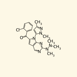 Cc1cc(-n2c(C(=O)c3ccccc3Cl)cc3cnc(N(C)N(C)C)nc32)n(C)n1